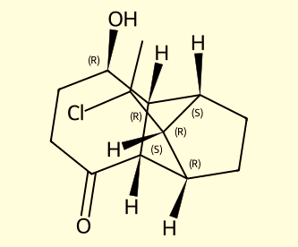 CC(Cl)[C@H]1[C@@H]2CC[C@H]1[C@@H]1[C@H]2C(=O)CC[C@H]1O